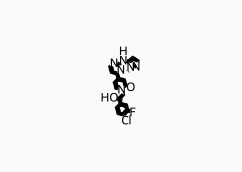 Cn1nccc1Nc1nccc(-c2ccn(C[C@@H](O)c3ccc(Cl)c(F)c3)c(=O)c2)n1